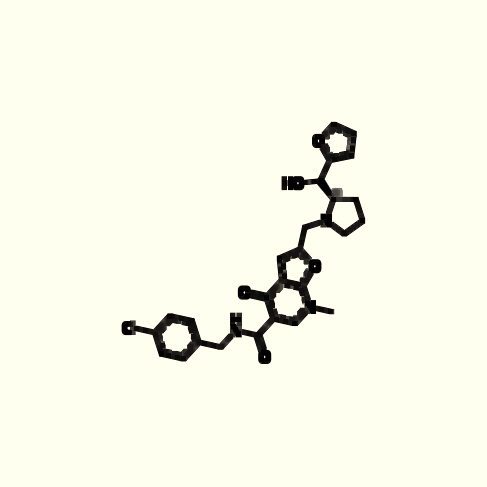 Cn1cc(C(=O)NCc2ccc(Cl)cc2)c(=O)c2cc(CN3CCC[C@@H]3C(O)c3ccco3)oc21